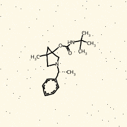 C[C@H](c1ccccc1)N1CC2(C)CC2(OC(=O)NC(C)(C)C)C1